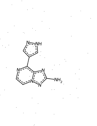 Nc1nc2c(-c3cn[nH]c3)nccn2n1